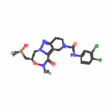 CN1O[C@@H](C[S@@+](C)[O-])Cn2nc3c(c2C1=O)CN(C(=O)Nc1ccc(F)c(Cl)c1)CC3